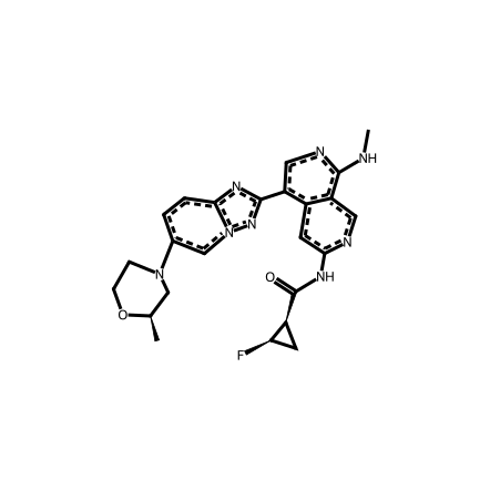 CNc1ncc(-c2nc3ccc(N4CCO[C@H](C)C4)cn3n2)c2cc(NC(=O)[C@H]3C[C@H]3F)ncc12